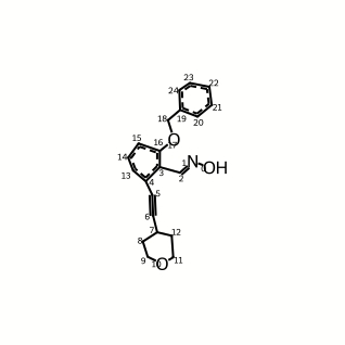 O/N=C/c1c(C#CC2CCOCC2)cccc1OCc1ccccc1